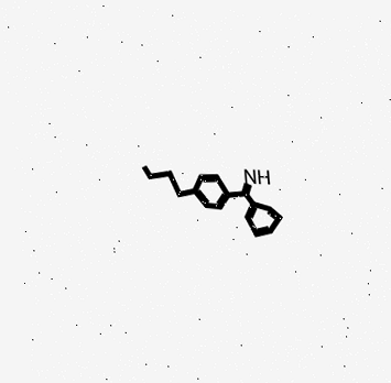 CCCCc1ccc(C(=N)c2ccccc2)cc1